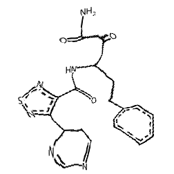 NC(=O)C(=O)C(CCc1ccccc1)NC(=O)c1nsnc1C1CC=NC=N1